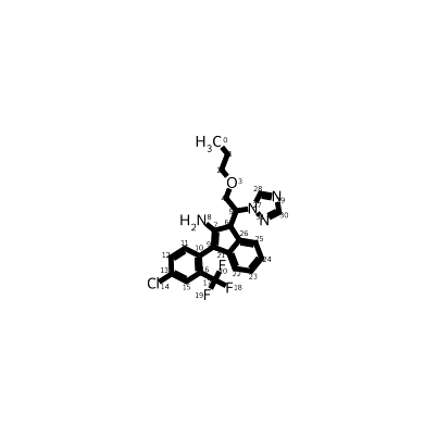 CCCOCC(C1C(N)=C(c2ccc(Cl)cc2C(F)(F)F)c2ccccc21)n1cncn1